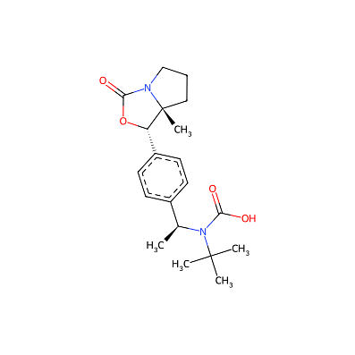 C[C@@H](c1ccc([C@@H]2OC(=O)N3CCC[C@]23C)cc1)N(C(=O)O)C(C)(C)C